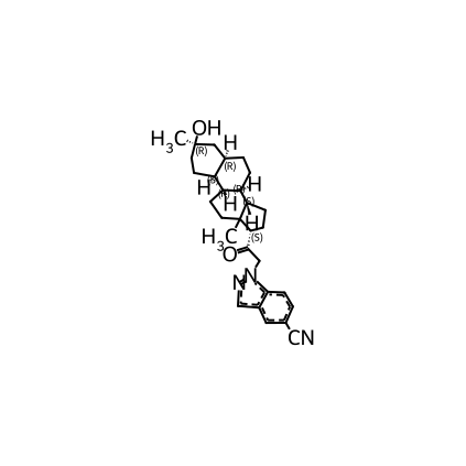 CC12CC[C@H]3[C@@H](CC[C@@H]4C[C@](C)(O)CC[C@@H]43)[C@@H]1CC[C@@H]2C(=O)Cn1ncc2cc(C#N)ccc21